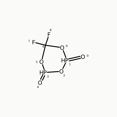 O=[PH]1O[PH](=O)OC(F)(F)O1